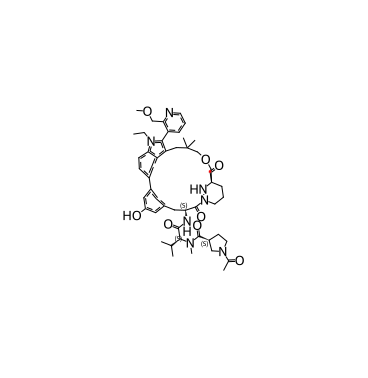 CCn1c(-c2cccnc2COC)c2c3cc(ccc31)-c1cc(O)cc(c1)C[C@H](NC(=O)[C@H](C(C)C)N(C)C(=O)[C@H]1CCN(C(C)=O)C1)C(=O)N1CCCC(C=O)(COCC(C)(C)C2)N1